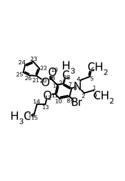 C=CCN(CC=C)c1c(Br)cc(OCCCC)c(C(=O)Oc2ccccc2)c1C